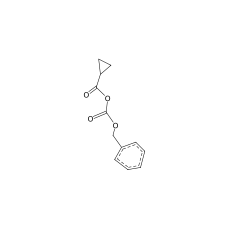 O=C(OCc1ccccc1)OC(=O)C1CC1